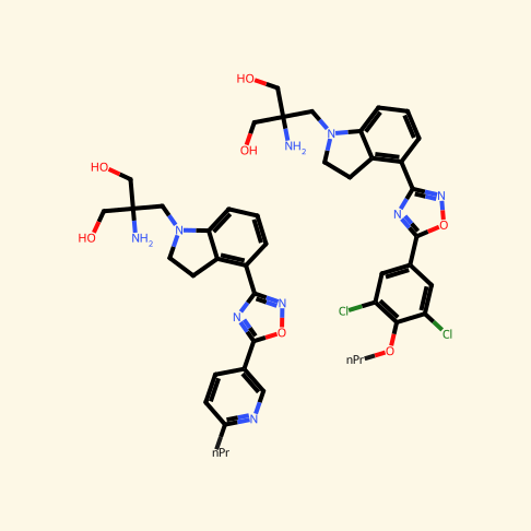 CCCOc1c(Cl)cc(-c2nc(-c3cccc4c3CCN4CC(N)(CO)CO)no2)cc1Cl.CCCc1ccc(-c2nc(-c3cccc4c3CCN4CC(N)(CO)CO)no2)cn1